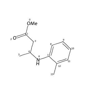 COC(=O)CC(C)Nc1ccccc1C